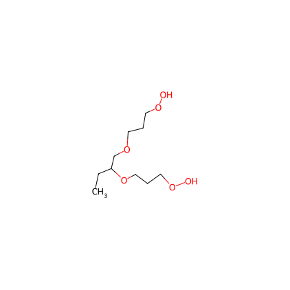 CCC(COCCCOO)OCCCOO